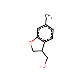 Cc1ccc2c(c1)OCC2CO